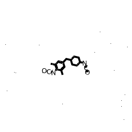 Cc1cc(CC2CCC(N=C=O)CC2)cc(C)c1N=C=O